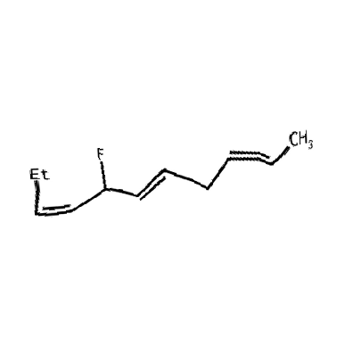 C/C=C/CC=CC(F)/C=C\CC